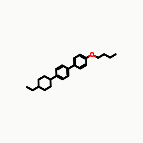 CCCCOc1ccc(-c2ccc(C3CCC(CC)CC3)cc2)cc1